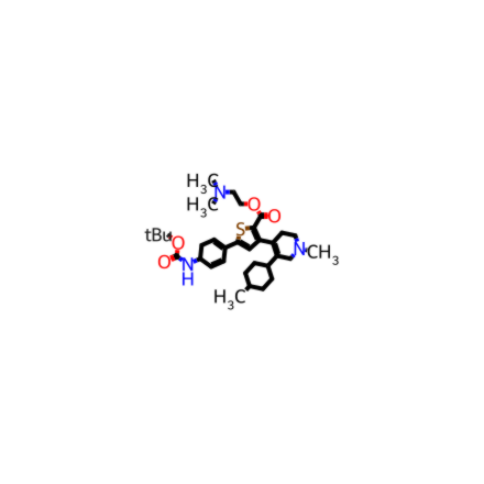 CC1CCC(C2=C(c3cc(C4=CCC(NC(=O)OC(C)(C)C)C=C4)sc3C(=O)OCCN(C)C)CCN(C)C2)CC1